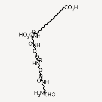 N[C@H](C=O)CCCCNC(=O)COCCOCCNC(=O)COCCOCCNC(=O)CC[C@H](NC(=O)CCCCCCCCCCCCCCCCCCC(=O)O)C(=O)O